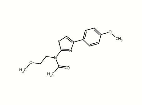 COCCN(C(C)=O)c1nc(-c2ccc(OC)cc2)cs1